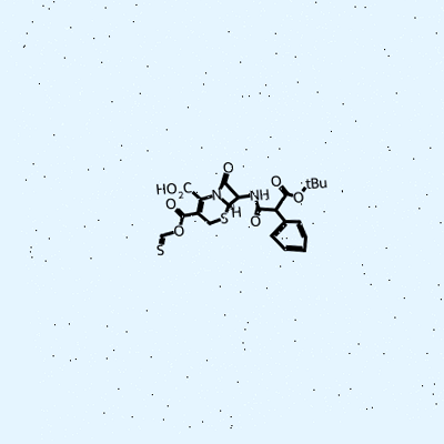 CC(C)(C)OC(=O)C(C(=O)NC1C(=O)N2C(C(=O)O)=C(C(=O)OC=S)CS[C@@H]12)c1ccccc1